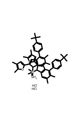 Cc1cc(C2=Cc3c(cc(C)c(C)c3-c3ccc(C(C)(C)C)cc3)[CH]2[Zr]([CH3])([CH3])(=[SiH2])[CH]2C(c3cc(C)c(C)o3)=Cc3c2cc(C)c(C)c3-c2ccc(C(C)(C)C)cc2)oc1C.Cl.Cl